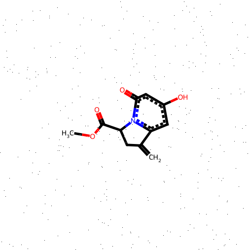 C=C1CC(C(=O)OC)n2c1cc(O)cc2=O